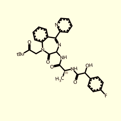 C[C@H](NC(=O)C(O)c1ccc(F)cc1)C(=O)NC1N=C(c2ccccn2)c2ccccc2N(CC(=O)C(C)(C)C)C1=O